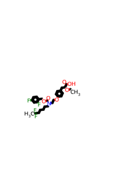 CCOC(Cc1ccc(OCCN(CCCCCC(C)(F)F)C(=O)OCc2ccc(F)cc2F)cc1)C(=O)O